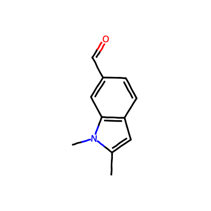 Cc1cc2ccc(C=O)cc2n1C